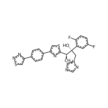 C[C@@H](c1nc(-c2ccc(-c3csnn3)cc2)cs1)[C@](O)(Cn1cncn1)c1cc(F)ccc1F